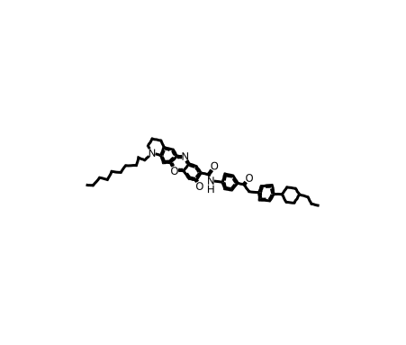 CCCCCCCCCCN1CCCc2cc3nc4cc(C(=O)Nc5ccc(C(=O)Cc6ccc(C7CCC(CCC)CC7)cc6)cc5)c(=O)cc-4oc3cc21